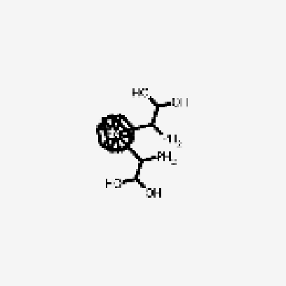 OC(O)C(P)[C]12[CH]3[CH]4[CH]5[C]1(C(P)C(O)O)[Fe]43521678[CH]2[CH]1[CH]6[CH]7[CH]28